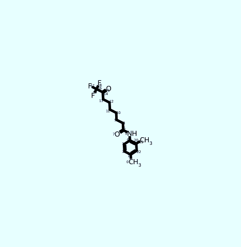 Cc1ccc(NC(=O)CCCCCCC(=O)C(F)(F)F)c(C)c1